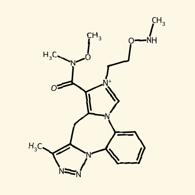 CNOCC[n+]1cn2c(c1C(=O)N(C)OC)Cc1c(C)nnn1-c1ccccc1-2